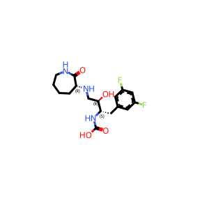 O=C(O)N[C@@H](Cc1cc(F)cc(F)c1)[C@H](O)CN[C@@H]1CCCCNC1=O